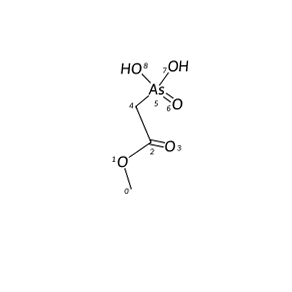 COC(=O)C[As](=O)(O)O